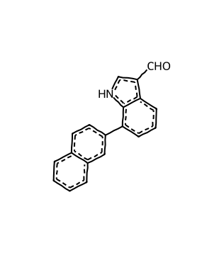 O=Cc1c[nH]c2c(-c3ccc4ccccc4c3)cccc12